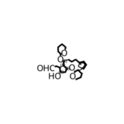 O=CCC1[C@@H]([C@H](CCCc2cccs2)OC2CCCCO2)[C@H](OC2CCCCO2)C[C@@H]1O